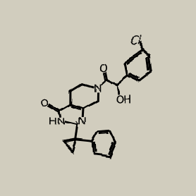 O=C([C@H](O)c1cccc(Cl)c1)N1CCc2c(nc(C3(c4ccccc4)CC3)[nH]c2=O)C1